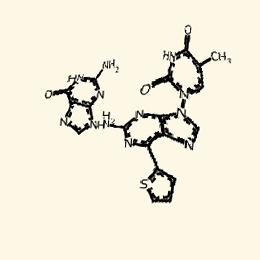 Cc1cn(-n2cnc3c(-c4cccs4)nc(N)nc32)c(=O)[nH]c1=O.Nc1nc2[nH]cnc2c(=O)[nH]1